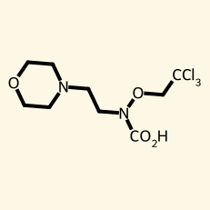 O=C(O)N(CCN1CCOCC1)OCC(Cl)(Cl)Cl